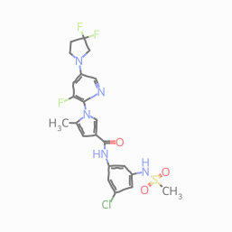 Cc1cc(C(=O)Nc2cc(Cl)cc(NS(C)(=O)=O)c2)cn1-c1ncc(N2CCC(F)(F)C2)cc1F